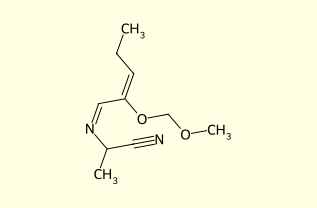 CC/C=C(\C=N/C(C)C#N)OCOC